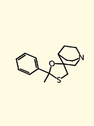 CC1(c2ccccc2)OC2(CS1)CN1CCC2CC1